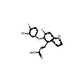 COC(=O)/C=C/c1c(Oc2ccc(F)c(C#N)c2)c(F)cc2[nH]ccc12